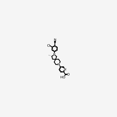 C[C@H]1CC2(CCN(c3ccc(C(=O)O)nc3)CC2)CN1c1ccc(C#N)c(Cl)c1